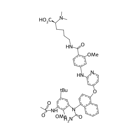 COc1cc(Nc2cc(Oc3ccc(N(C(N)=O)c4cc(C(C)(C)C)cc(NS(C)(=O)=O)c4OC)c4ccccc34)ccn2)ccc1C(=O)NCCCC[C@@H](C(=O)O)N(C)C